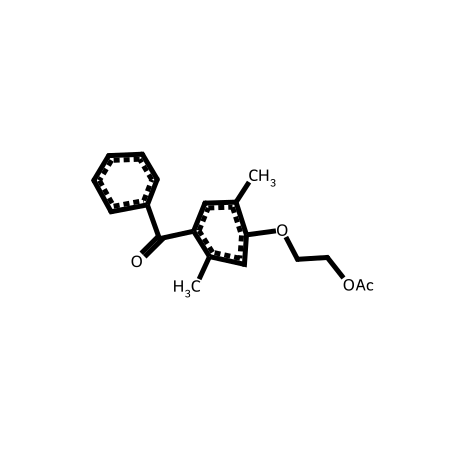 CC(=O)OCCOc1cc(C)c(C(=O)c2ccccc2)cc1C